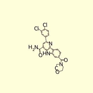 NC(=O)c1cc(-c2ccc(Cl)c(Cl)c2)nc2c1[nH]c1cc(C(=O)N3CCOCC3)ccc12